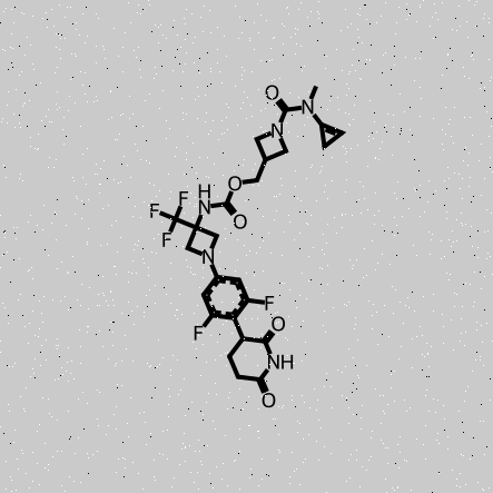 CN(C(=O)N1CC(COC(=O)NC2(C(F)(F)F)CN(c3cc(F)c(C4CCC(=O)NC4=O)c(F)c3)C2)C1)C1=CC1